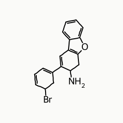 NC1Cc2oc3ccccc3c2C=C1C1=CC=CC(Br)C1